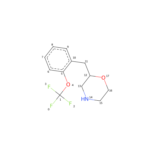 FC(F)(F)Oc1ccccc1CC1CNCCO1